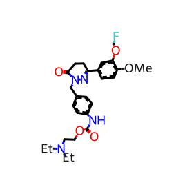 CCN(CC)CCOC(=O)Nc1ccc(CN2N=C(c3ccc(OC)c(OCF)c3)CCC2=O)cc1